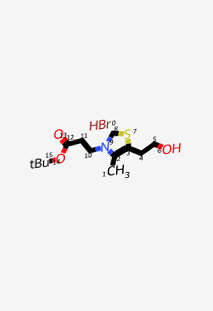 Br.CC1=C(CCO)SCN1CCC(=O)OC(C)(C)C